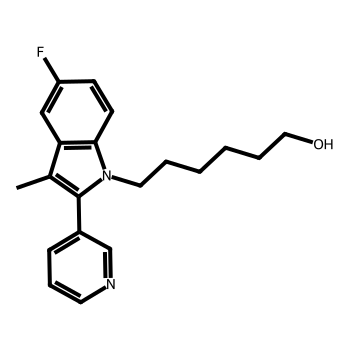 Cc1c(-c2cccnc2)n(CCCCCCO)c2ccc(F)cc12